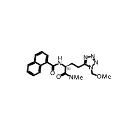 CNC(=O)[C@H](CCc1nnnn1COC)NC(=O)c1cccc2ccccc12